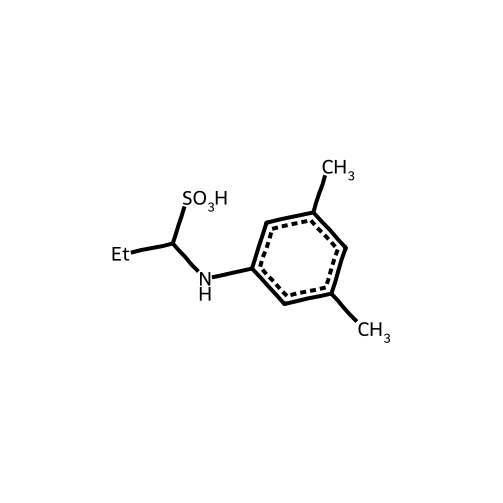 CCC(Nc1cc(C)cc(C)c1)S(=O)(=O)O